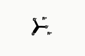 O=C([O-])[O-].[Fr+].[Fr+]